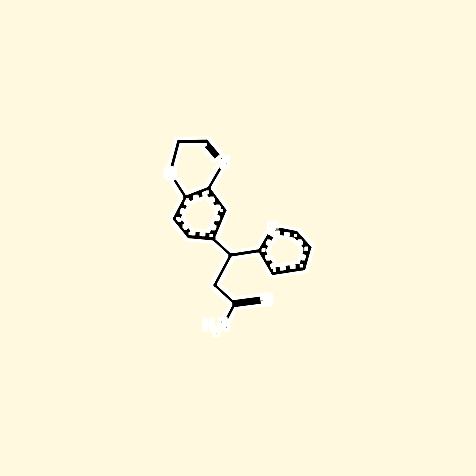 NC(=O)CC(c1ccc2c(c1)N=CCO2)c1ccccn1